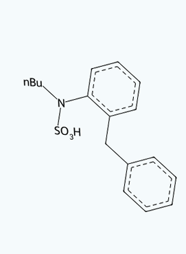 CCCCN(c1ccccc1Cc1ccccc1)S(=O)(=O)O